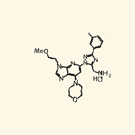 COCCn1cnc2c(N3CCOCC3)cc(-n3nc(-c4cccc(C)c4)nc3CN)nc21.Cl